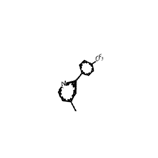 Cc1ccnc(-c2ccc(C(F)(F)F)cc2)c1